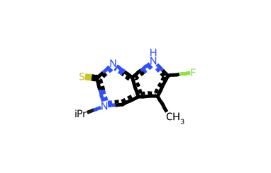 Cc1c(F)[nH]c2nc(=S)n(C(C)C)cc12